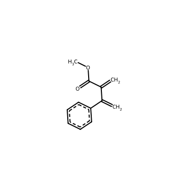 C=C(C(=C)c1ccccc1)C(=O)OC